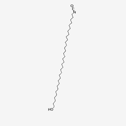 O=C=NCCCCCCCCCCCCCCCCCCCCCCCCCCCCCCCCCCO